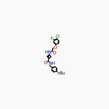 CCCCc1ccc(CNC(=O)C23CC(NC(=O)COc4ccc(Cl)c(F)c4)(C2)C3)cc1